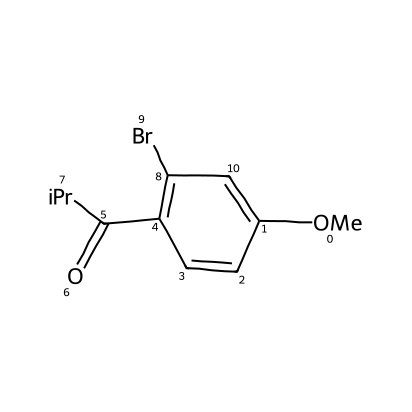 COc1ccc(C(=O)C(C)C)c(Br)c1